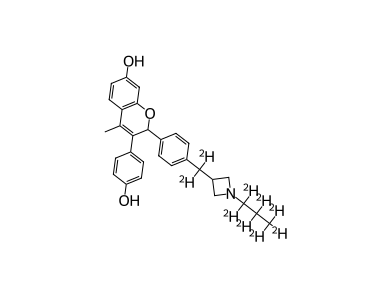 [2H]C([2H])(c1ccc(C2Oc3cc(O)ccc3C(C)=C2c2ccc(O)cc2)cc1)C1CN(C([2H])([2H])C([2H])([2H])C([2H])([2H])[2H])C1